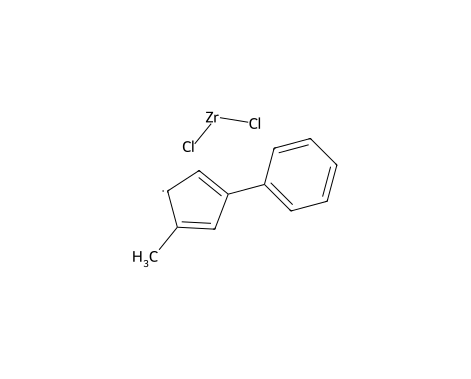 CC1=CC(c2ccccc2)=C[CH]1.[Cl][Zr][Cl]